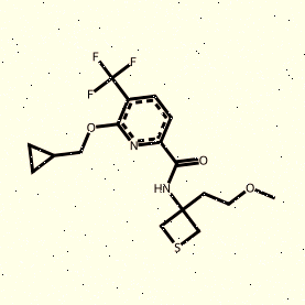 COCCC1(NC(=O)c2ccc(C(F)(F)F)c(OCC3CC3)n2)CSC1